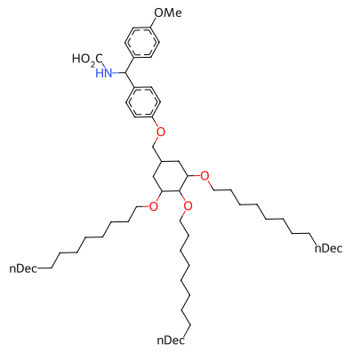 CCCCCCCCCCCCCCCCCCOC1CC(COc2ccc(C(NC(=O)O)c3ccc(OC)cc3)cc2)CC(OCCCCCCCCCCCCCCCCCC)C1OCCCCCCCCCCCCCCCCCC